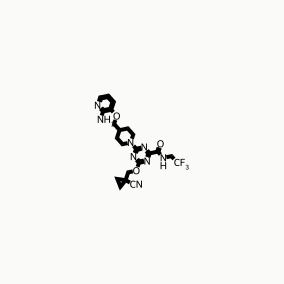 N#CC1(COc2nc(C(=O)NCC(F)(F)F)nc(N3CCC(COc4cccnc4N)CC3)n2)CC1